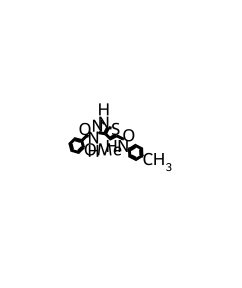 COc1ccccc1C(=O)Nc1n[nH]c2sc(C(=O)Nc3ccc(C)cc3)cc12